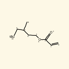 C=CC(=O)OCCC(C)CC(C)(C)C